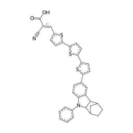 N#C/C(=C\c1ccc(-c2ccc(-c3ccc(-c4ccc5c(c4)C4C6CCC(C6)C4N5c4ccccc4)s3)s2)s1)C(=O)O